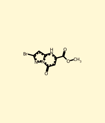 COC(=O)c1cc(=O)n2nc(Br)cc2[nH]1